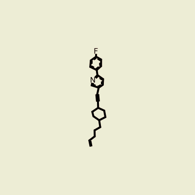 C=CCCCC1CCC(C#Cc2ccc(-c3ccc(F)cc3)nc2)CC1